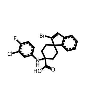 O=C(O)C1(Nc2ccc(F)c(Cl)c2)CCC2(CC1)C(Br)=Cc1ccccc12